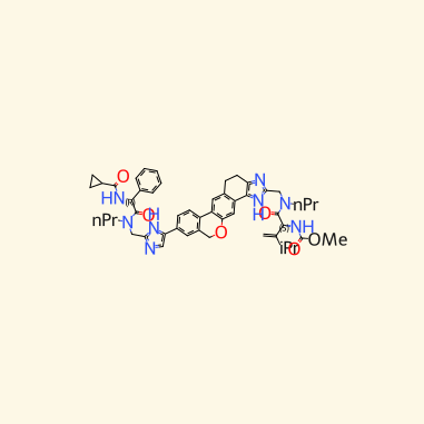 C=C(C(C)C)[C@H](NC(=O)OC)C(=O)N(CCC)Cc1nc2c([nH]1)-c1cc3c(cc1CC2)-c1ccc(-c2cnc(CN(CCC)C(=O)[C@H](NC(=O)C4CC4)c4ccccc4)[nH]2)cc1CO3